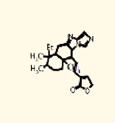 CCC1(C)C(C)CCC2(C)C(/C=C/C3=CCOC3=O)C3C(=Nc4cncn43)CC12